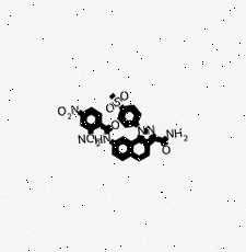 CS(=O)(=O)c1ccc(-n2nc(C(N)=O)c3c2-c2cc(NC(=O)c4ccc([N+](=O)[O-])cc4[N+](=O)[O-])ccc2CC3)cc1